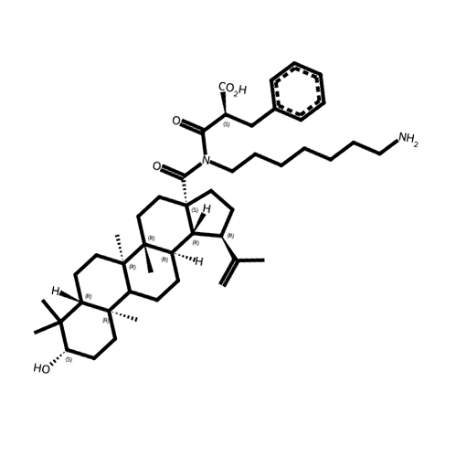 C=C(C)[C@@H]1CC[C@]2(C(=O)N(CCCCCCCN)C(=O)[C@H](Cc3ccccc3)C(=O)O)CC[C@]3(C)[C@H](CCC4[C@@]5(C)CC[C@H](O)C(C)(C)[C@@H]5CC[C@]43C)[C@@H]12